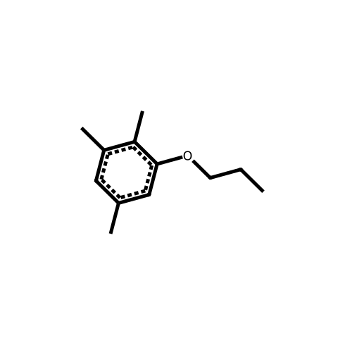 CCCOc1cc(C)cc(C)c1C